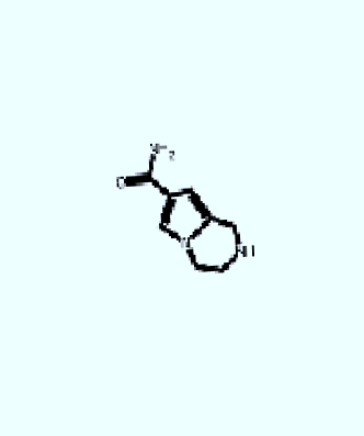 NC(=O)c1cc2n(c1)CCNC2